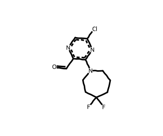 O=Cc1ncc(Cl)nc1N1CCCC(F)(F)CC1